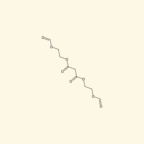 O=COCCOC(=O)CC(=O)OCCOC=O